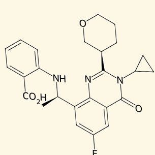 C[C@@H](Nc1ccccc1C(=O)O)c1cc(F)cc2c(=O)n(C3CC3)c([C@@H]3CCCOC3)nc12